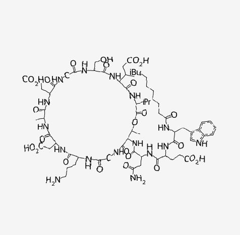 CCC(C)CCCCCCC(=O)NC(Cc1c[nH]c2ccccc12)C(=O)NC(CCC(=O)O)C(=O)NC(CC(N)=O)C(=O)NC1C(=O)NCC(=O)NC(CCCN)C(=O)NC(CC(=O)O)C(=O)NC(C)C(=O)NC(CC(=O)O)C(=O)NCC(=O)NC(CO)C(=O)NC(C(C)CC(=O)O)C(=O)NC(C(C)C)C(=O)OC1C